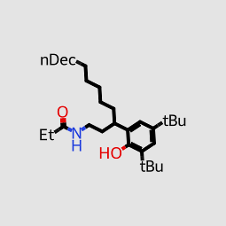 CCCCCCCCCCCCCCCC(CCNC(=O)CC)c1cc(C(C)(C)C)cc(C(C)(C)C)c1O